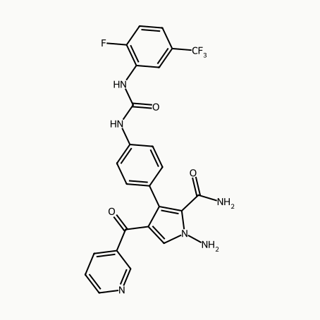 NC(=O)c1c(-c2ccc(NC(=O)Nc3cc(C(F)(F)F)ccc3F)cc2)c(C(=O)c2cccnc2)cn1N